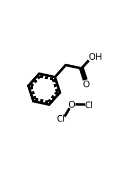 ClOCl.O=C(O)Cc1ccccc1